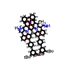 C=C(/C(=C(\C=N)c1ccccc1)N1c2ccc(-c3ccc(-c4cc(C(C)(C)C)cc(C(C)(C)C)c4)cc3)cc2B2c3cc(-c4ccc(-c5cc(C(C)(C)C)cc(C(C)(C)C)c5)cc4)ccc3N(/C(C(=C)c3ccccc3)=C(/C=N)c3ccccc3)c3cc(-n4c5ccccc5c5ccccc54)cc1c32)c1ccccc1